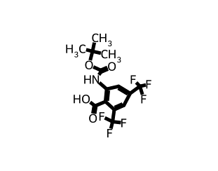 CC(C)(C)OC(=O)Nc1cc(C(F)(F)F)cc(C(F)(F)F)c1C(=O)O